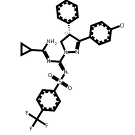 N/C(=N\C(=N/S(=O)(=O)c1ccc(C(F)(F)F)cc1)N1C[C@H](c2ccccc2)C(c2ccc(Cl)cc2)=N1)C1CC1